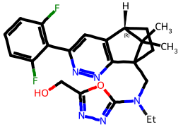 CCN(CC12CC[C@@H](c3cc(-c4c(F)cccc4F)nnc31)C2(C)C)c1nnc(CO)o1